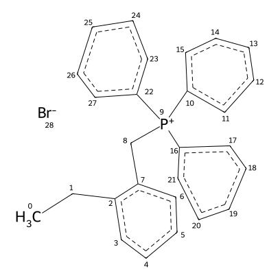 CCc1ccccc1C[P+](c1ccccc1)(c1ccccc1)c1ccccc1.[Br-]